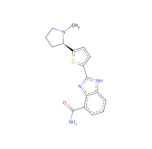 CN1CCC[C@@H]1c1ccc(-c2nc3c(C(N)=O)cccc3[nH]2)s1